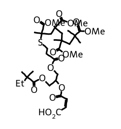 CCC(C)(C)C(=O)OCC(COC(=O)CCSC(C)(CC(C)(CC(C)(CC(C)(C)C(=O)OC)C(=O)OC)C(=O)OC)C(=O)OC)OC(=O)/C=C\C(=O)O